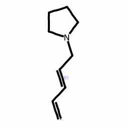 [CH]=C/C=C/CN1CCCC1